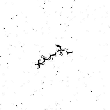 C=CP(=O)(OCC)SCCNC(=O)OC(C)(C)C